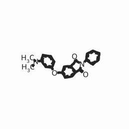 CN(C)c1cccc(Oc2ccc3c(c2)C(=O)N(c2ccccc2)C3=O)c1